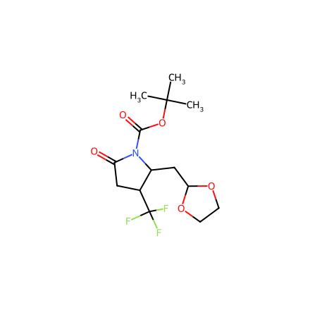 CC(C)(C)OC(=O)N1C(=O)CC(C(F)(F)F)C1CC1OCCO1